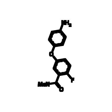 CNC(=O)c1cc(Oc2ccc(N)cc2)ccc1F